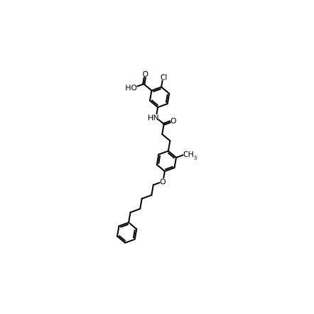 Cc1cc(OCCCCCc2ccccc2)ccc1CCC(=O)Nc1ccc(Cl)c(C(=O)O)c1